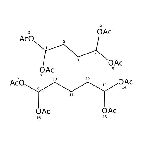 CC(=O)OC(CCC(OC(C)=O)OC(C)=O)OC(C)=O.CC(=O)OC(CCCC(OC(C)=O)OC(C)=O)OC(C)=O